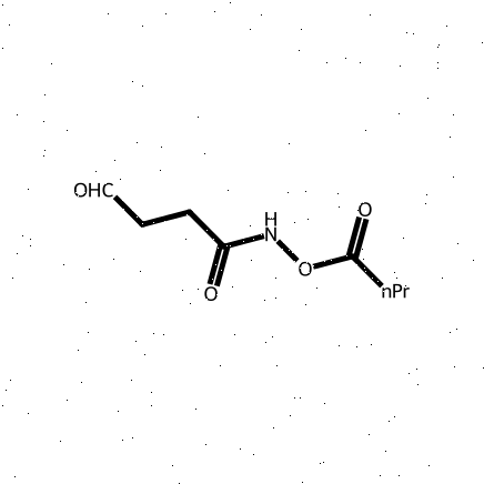 CCCC(=O)ONC(=O)CCC=O